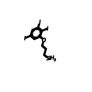 [SiH3]CCCOc1cc(I)cc(I)c1I